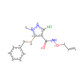 C=CCONC(=O)c1c(Cl)nn(C)c1SCc1ccccc1